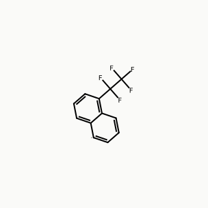 FC(F)(F)C(F)(F)c1cccc2[c]cccc12